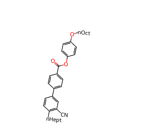 CCCCCCCCOc1ccc(OC(=O)c2ccc(-c3ccc(CCCCCCC)c(C#N)c3)cc2)cc1